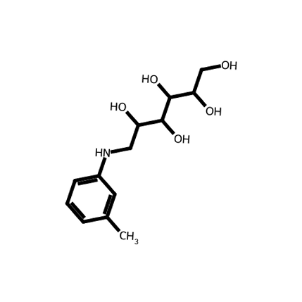 Cc1cccc(NCC(O)C(O)C(O)C(O)CO)c1